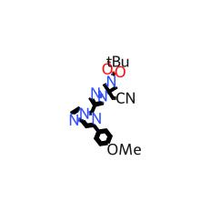 COc1ccc(-c2cc3nccn3c(-c3cnn(C4(CC#N)CN(C(=O)OC(C)(C)C)C4)c3)n2)cc1